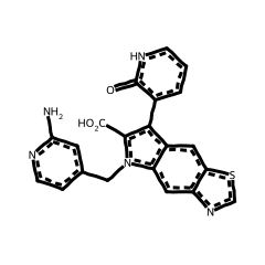 Nc1cc(Cn2c(C(=O)O)c(-c3ccc[nH]c3=O)c3cc4scnc4cc32)ccn1